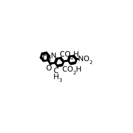 Cc1c(C(=O)c2ccccc2)c(N)c(C(=O)O)c(-c2ccc([N+](=O)[O-])cc2)c1C(=O)O